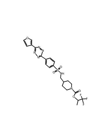 CC(OC(=O)N1CCC(CNS(=O)(=O)c2ccc(-c3nnc(-c4ccoc4)nn3)cc2)CC1)C(F)(F)F